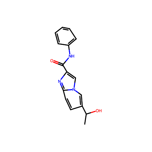 CC(O)c1ccc2nc(C(=O)Nc3ccccc3)cn2c1